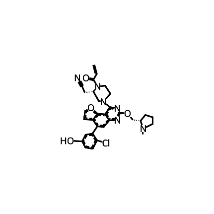 C=CC(=O)N1CCN(c2nc(OC[C@@H]3CCCN3C)nc3cc(-c4cc(O)ccc4Cl)c4ccoc4c23)C[C@@H]1CC#N